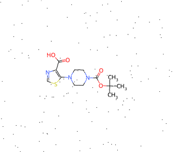 CC(C)(C)OC(=O)N1CCN(c2scnc2C(=O)O)CC1